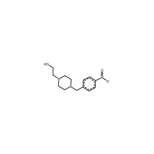 O=[N+]([O-])c1ccc(CN2CCN(CCO)CC2)cc1